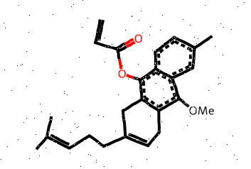 C=CC(=O)Oc1c2c(c(OC)c3cc(C)ccc13)CC=C(CCC=C(C)C)C2